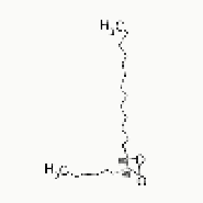 CCCCCCCCCCCCC[C@H]1OC(=O)[C@@H]1CCCCCC